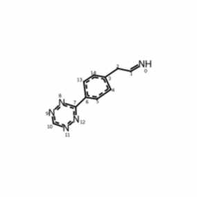 N=CCc1ccc(-c2nncnn2)cc1